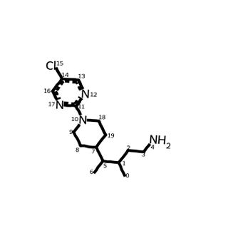 CC(CCN)C(C)C1CCN(c2ncc(Cl)cn2)CC1